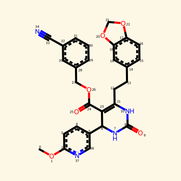 COc1ccc(C2NC(=O)NC(CCc3ccc4c(c3)OCO4)=C2C(=O)OCc2cccc(C#N)c2)cn1